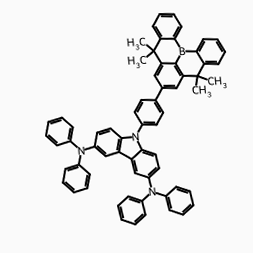 CC1(C)c2ccccc2B2c3ccccc3C(C)(C)c3cc(-c4ccc(-n5c6ccc(N(c7ccccc7)c7ccccc7)cc6c6cc(N(c7ccccc7)c7ccccc7)ccc65)cc4)cc1c32